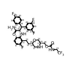 NC(=O)[C@@H](Nc1cccc(F)c1CC[C@@H]1CN[C@H](COC(=O)NCC(F)(F)F)CO1)C(c1ccc(F)cc1)c1cc(F)cc(F)c1